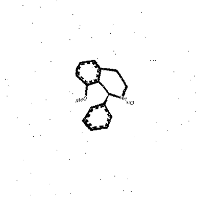 COc1cccc2c1[C@H](c1ccccc1)NCC2.Cl